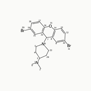 CN(C)C1CCN(C2c3cc(Br)ccc3Oc3ccc(Br)cc32)CC1